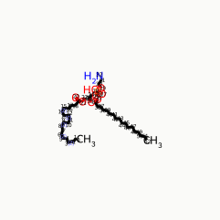 CC/C=C\C/C=C\C/C=C\C/C=C\C/C=C\CCCC(=O)OC[C@H](COP(=O)(O)OCCN)OC(=O)CCCCCCCCCCCCCCCCC